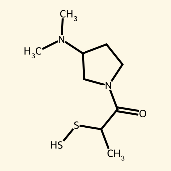 CC(SS)C(=O)N1CCC(N(C)C)C1